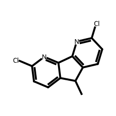 CC1c2ccc(Cl)nc2-c2nc(Cl)ccc21